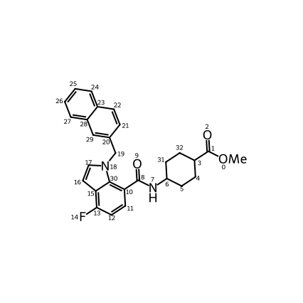 COC(=O)C1CCC(NC(=O)c2ccc(F)c3ccn(Cc4ccc5ccccc5c4)c23)CC1